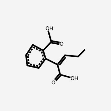 CCC=C(C(=O)O)c1ccccc1C(=O)O